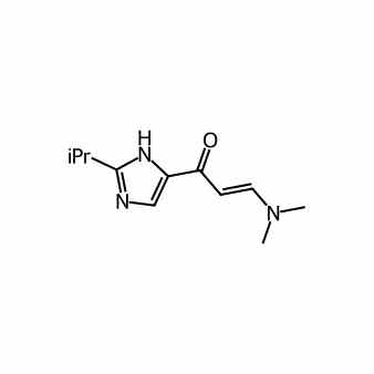 CC(C)c1ncc(C(=O)C=CN(C)C)[nH]1